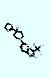 OC1(C2=NCCS2)CCN(c2ccc3nnc(C(F)(F)F)n3n2)CC1